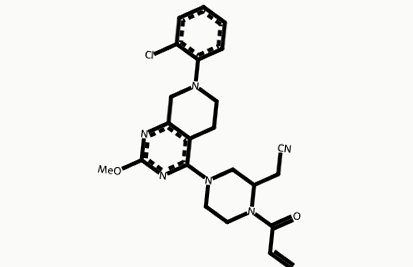 C=CC(=O)N1CCN(c2nc(OC)nc3c2CCN(c2ccccc2Cl)C3)CC1CC#N